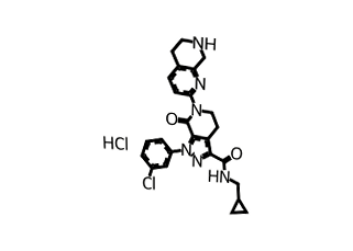 Cl.O=C(NCC1CC1)c1nn(-c2cccc(Cl)c2)c2c1CCN(c1ccc3c(n1)CNCC3)C2=O